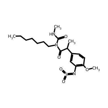 CCCCCCCN(C(=O)NC)C(=O)C(C)c1ccc(OC)c(N=S(=O)=O)c1